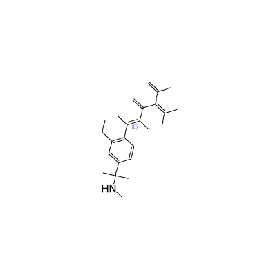 C=C(C)C(C(=C)/C(C)=C(\C)c1ccc(C(C)(C)NC)cc1CC)=C(C)C